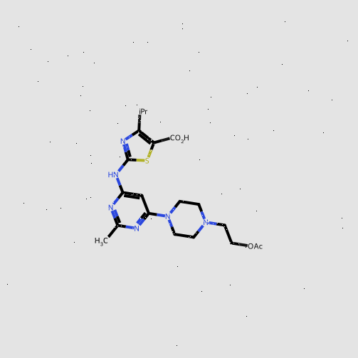 CC(=O)OCCN1CCN(c2cc(Nc3nc(C(C)C)c(C(=O)O)s3)nc(C)n2)CC1